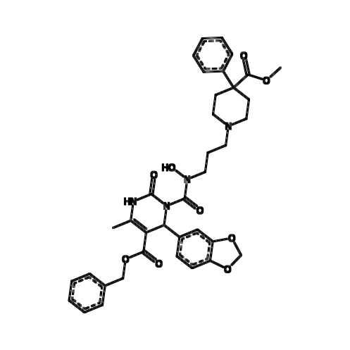 COC(=O)C1(c2ccccc2)CCN(CCCN(O)C(=O)N2C(=O)NC(C)=C(C(=O)OCc3ccccc3)C2c2ccc3c(c2)OCO3)CC1